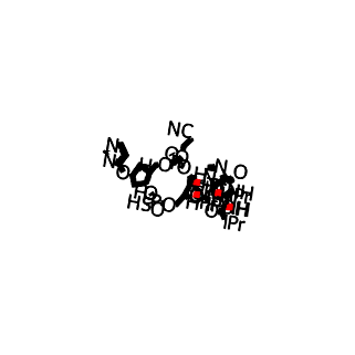 CC(C)C(=O)Nc1nc2c(ncn2[C@@H]2O[C@@H]3CO[P@@](=O)(S)O[C@H]4C[C@H](Oc5ccncn5)C[C@@H]4COP(=O)(OCCC#N)O[C@@H]2[C@@H]3O[Si](O[Si](O)(C(C)C)C(C)C)(C(C)C)C(C)C)c(=O)[nH]1